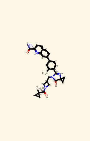 Cc1cc(-c2ccc3ccc(C(N)=O)nc3c2)ccc1C1=NC2(CC2)C(=O)N1CC1CN(C(=O)C2(C)CC2)C1